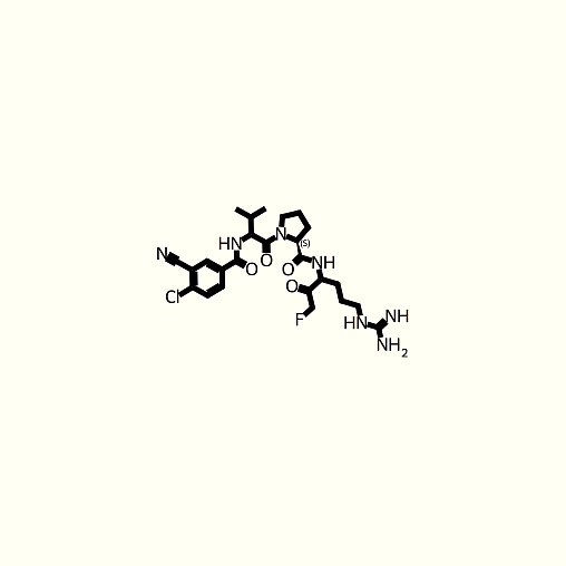 CC(C)C(NC(=O)c1ccc(Cl)c(C#N)c1)C(=O)N1CCC[C@H]1C(=O)NC(CCCNC(=N)N)C(=O)CF